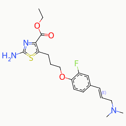 CCOC(=O)c1nc(N)sc1CCCOc1ccc(/C=C/CN(C)C)cc1F